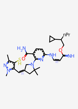 CCCC(COC(=N)/C=C\Nc1ccc(C(N)=O)c(N2C/C(=C\c3c(S)c(C)nn3C)CC2(C)C)n1)C1CC1